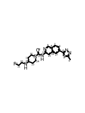 Cc1nnc(-c2ccc3cnc(NC(=O)N4CCC(NCCF)CC4)cc3c2)s1